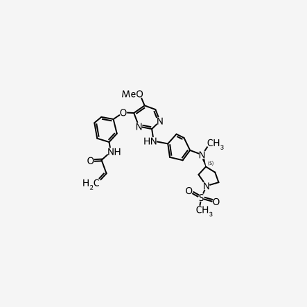 C=CC(=O)Nc1cccc(Oc2nc(Nc3ccc(N(C)[C@H]4CCN(S(C)(=O)=O)C4)cc3)ncc2OC)c1